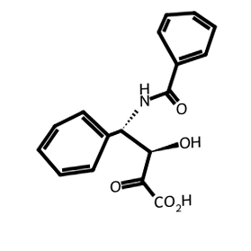 O=C(O)C(=O)[C@H](O)[C@@H](NC(=O)c1ccccc1)c1ccccc1